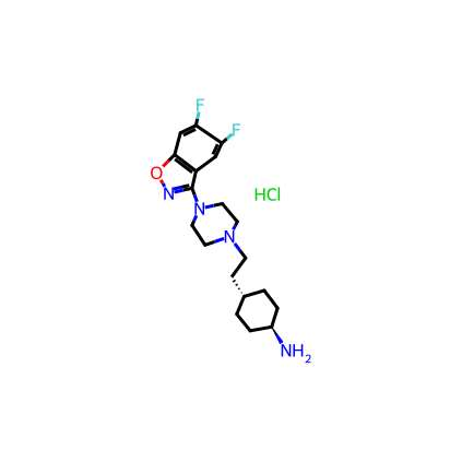 Cl.N[C@H]1CC[C@H](CCN2CCN(c3noc4cc(F)c(F)cc34)CC2)CC1